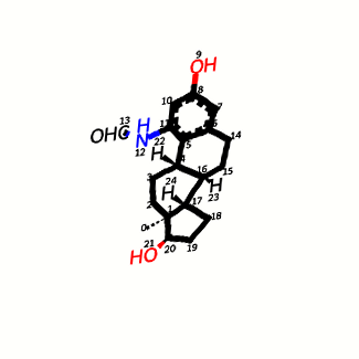 C[C@]12CC[C@@H]3c4c(cc(O)cc4NC=O)CC[C@H]3[C@@H]1CC[C@H]2O